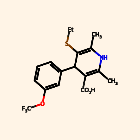 CCSC1=C(C)NC(C)=C(C(=O)O)C1c1cccc(OC(F)(F)F)c1